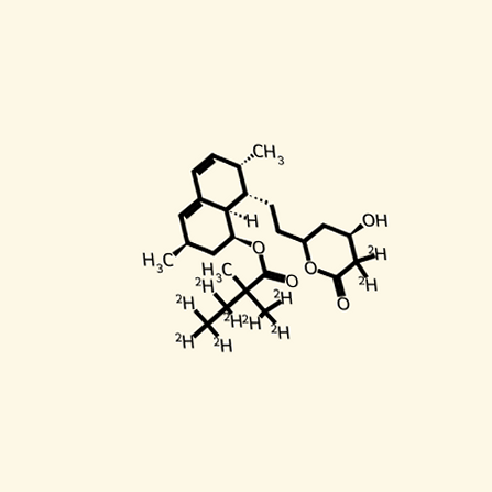 [2H]C1([2H])C(=O)OC(CC[C@@H]2[C@@H]3C(=C[C@H](C)C[C@@H]3OC(=O)C(C)(C([2H])([2H])[2H])C([2H])([2H])C([2H])([2H])[2H])C=C[C@@H]2C)C[C@H]1O